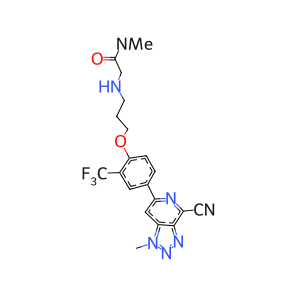 CNC(=O)CNCCCOc1ccc(-c2cc3c(nnn3C)c(C#N)n2)cc1C(F)(F)F